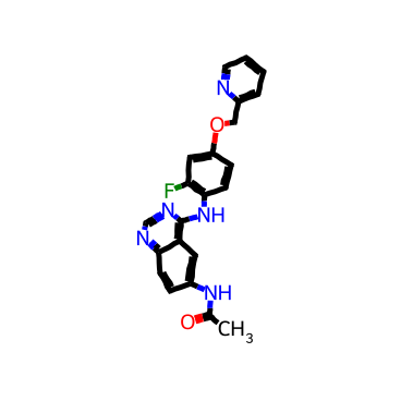 CC(=O)Nc1ccc2ncnc(Nc3ccc(OCc4ccccn4)cc3F)c2c1